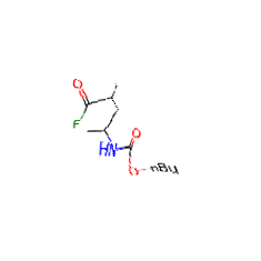 CCCCOC(=O)NC(C)CC(C)C(=O)F